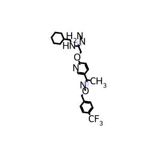 C/C(=N\OCc1ccc(C(F)(F)F)cc1)c1ccc(OC/C(=N/N)NCC2CCCCC2)nc1